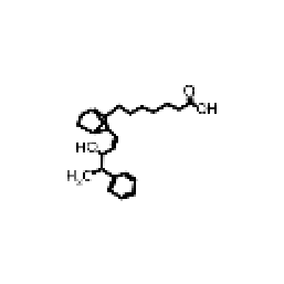 CC(c1ccccc1)C(O)/C=C\C1C2CCC(C2)C1CCCCCCC(=O)O